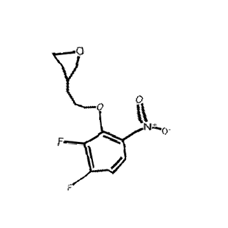 O=[N+]([O-])c1ccc(F)c(F)c1OCC1CO1